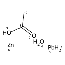 CC(=O)O.O.[PbH2].[Zn]